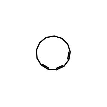 [C]1=CC=CCCCCCCCC=C1